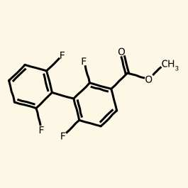 COC(=O)c1ccc(F)c(-c2c(F)cccc2F)c1F